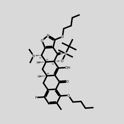 CCCCOc1noc2c1C(=O)[C@@]1(O[Si](C)(C)C(C)(C)C)C(O)=C3C(=O)c4c(c(F)cc(C)c4OCCCC)C[C@H]3C[C@H]1[C@@H]2N(C)C